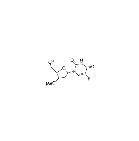 COC1CC(n2cc(F)c(=O)[nH]c2=O)OC1CO